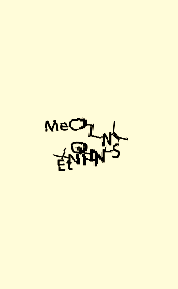 CCC(C)(C)NC(=O)N=c1sc(C)c(C)n1CCOC